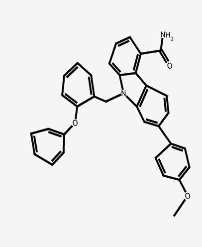 COc1ccc(-c2c[c]c3c4c(C(N)=O)cccc4n(Cc4ccccc4Oc4ccccc4)c3c2)cc1